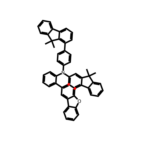 CC1(C)c2ccccc2-c2ccc(N(c3ccc(-c4cccc5c4C(C)(C)c4ccccc4-5)cc3)c3ccccc3-c3ccc4oc5ccccc5c4c3)cc21